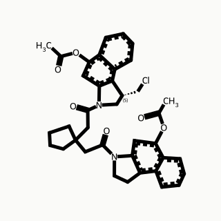 CC(=O)Oc1cc2c(c3ccccc13)CCN2C(=O)CC1(CC(=O)N2C[C@@H](CCl)c3c2cc(OC(C)=O)c2ccccc32)CCCC1